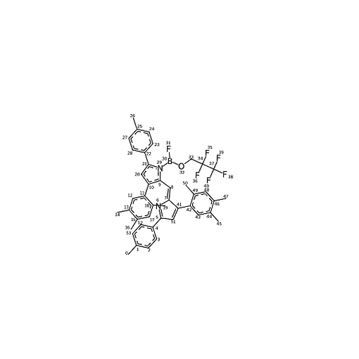 Cc1ccc(C2=N/C(=C\c3c(-c4cc(C)c(C)cc4C)cc(-c4ccc(C)cc4)n3B(F)OCC(F)(F)C(F)(F)F)C(c3cc(C)c(C)cc3C)=C2)cc1